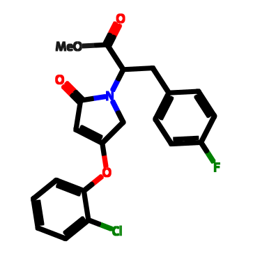 COC(=O)C(Cc1ccc(F)cc1)N1CC(Oc2ccccc2Cl)=CC1=O